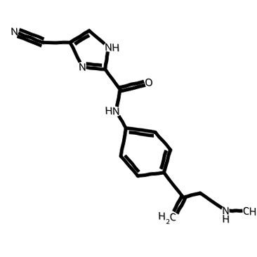 C=C(CNC)c1ccc(NC(=O)c2nc(C#N)c[nH]2)cc1